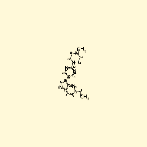 C=Cc1ccc2ncc(-c3cnc(N4CCN(C)CC4)nc3)n2n1